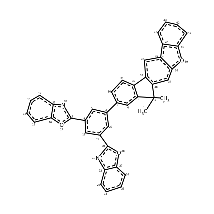 CC1(C)c2cc(-c3cc(-c4nc5ccccc5o4)cc(-c4nc5ccccc5o4)c3)ccc2-c2cc3c(cc21)oc1ccccc13